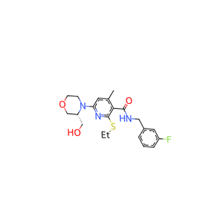 CCSc1nc(N2CCOC[C@H]2CO)cc(C)c1C(=O)NCc1cccc(F)c1